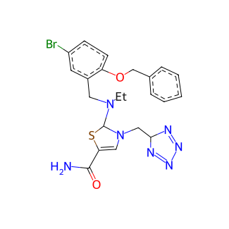 CCN(Cc1cc(Br)ccc1OCc1ccccc1)C1SC(C(N)=O)=CN1CC1N=NN=N1